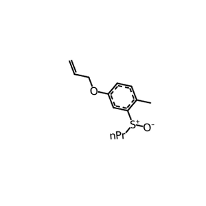 C=CCOc1ccc(C)c([S+]([O-])CCC)c1